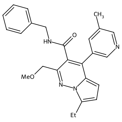 CCc1ccc2c(-c3cncc(C)c3)c(C(=O)NCc3ccccc3)c(COC)nn12